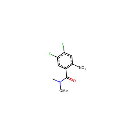 CON(C)C(=O)c1cc(F)c(F)cc1[N+](=O)[O-]